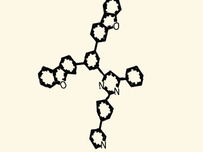 c1ccc(-c2cc(-c3cc(-c4ccc5c(c4)oc4ccccc45)cc(-c4ccc5c(c4)oc4ccccc45)c3)nc(-c3ccc(-c4cccnc4)cc3)n2)cc1